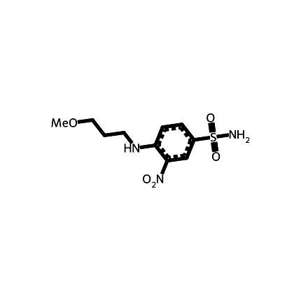 COCCCNc1ccc(S(N)(=O)=O)cc1[N+](=O)[O-]